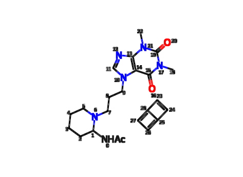 CC(=O)NC1CCCCN1CCCn1cnc2c1c(=O)n(C)c(=O)n2C.c1cc2ccc1-2